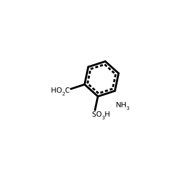 N.O=C(O)c1ccccc1S(=O)(=O)O